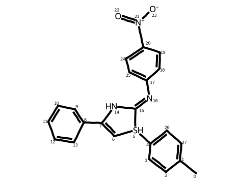 Cc1ccc([SH]2C=C(c3ccccc3)NC2=Nc2ccc([N+](=O)[O-])cc2)cc1